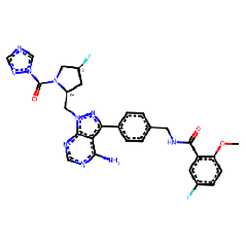 COc1ccc(F)cc1C(=O)NCc1ccc(-c2nn(C[C@@H]3C[C@H](F)CN3C(=O)n3cncn3)c3ncnc(N)c23)cc1